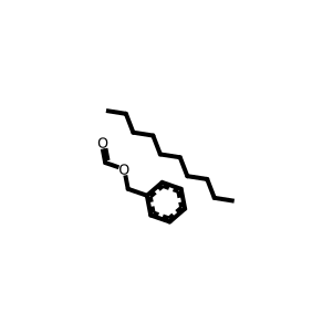 CCCCCCCCCC.O=COCc1ccccc1